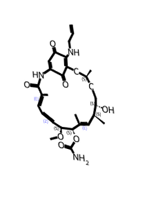 C=CCNC1=C2C[C@@H](C)CC[C@H](O)[C@@H](C)/C=C(\C)[C@H](OC(N)=O)[C@@H](OC)/C=C\C=C(/C)C(=O)NC(=CC1=O)C2=O